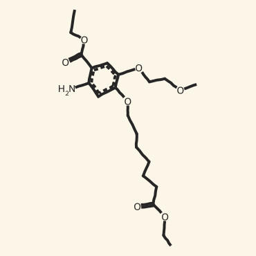 CCOC(=O)CCCCCCOc1cc(N)c(C(=O)OCC)cc1OCCOC